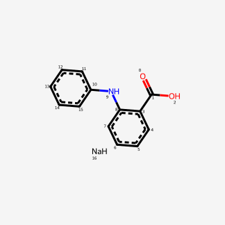 O=C(O)c1ccccc1Nc1ccccc1.[NaH]